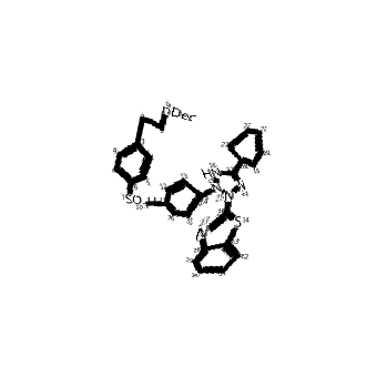 CCCCCCCCCCCCc1ccc(S(=O)(=O)O)cc1.Cc1ccc(N2NC(c3ccccc3)=NN2c2nc3ccccc3s2)cc1